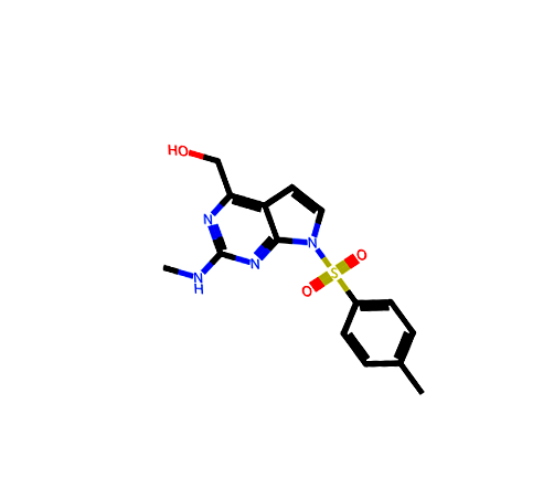 CNc1nc(CO)c2ccn(S(=O)(=O)c3ccc(C)cc3)c2n1